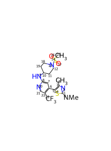 CNc1nc(C)c(-c2cc(NC3CCN(S(C)(=O)=O)CC3)ncc2C(F)(F)F)s1